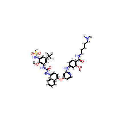 COc1cc(Nc2cc(Oc3ccc(NC(=O)Nc4cc(C(C)(C)C)cc(NS(C)(=O)=O)c4OC)c4ccccc34)ccn2)ccc1C(=O)NCCCCCN(C)C